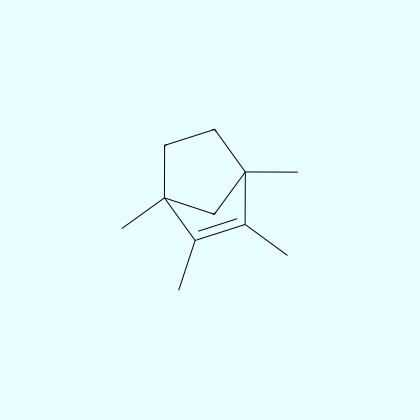 CC1=C(C)C2(C)CCC1(C)C2